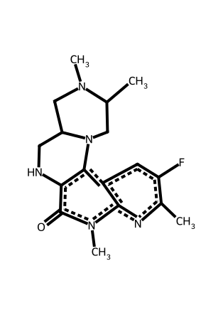 Cc1nc2c(cc1F)c1c(c(=O)n2C)NCC2CN(C)C(C)CN12